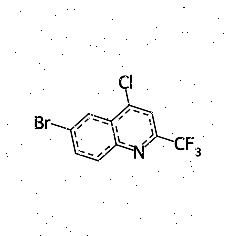 FC(F)(F)c1cc(Cl)c2cc(Br)ccc2n1